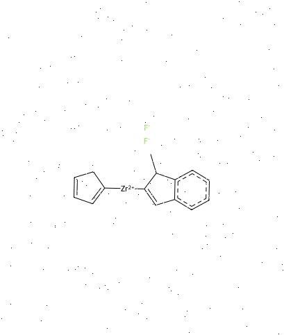 CC1[C]([Zr+2][C]2=CC=CC2)=Cc2ccccc21.[F-].[F-]